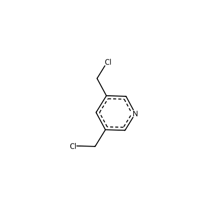 ClCc1cncc(CCl)c1